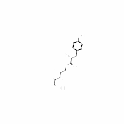 N[C@@H](Cc1ccc(O)cc1)C(=O)OC[C@@H](O)[C@@H](O)[C@H](O)[C@@H](O)C=O